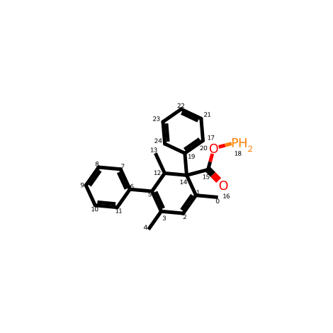 CC1=CC(C)=C(c2ccccc2)C(C)C1(C(=O)OP)c1ccccc1